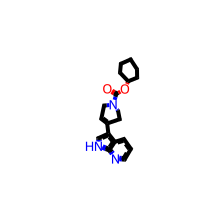 O=C(OC1CCCCC1)N1CC=C(c2c[nH]c3ncccc23)CC1